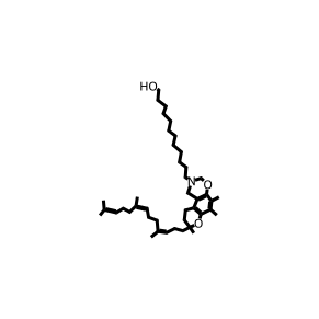 CC(C)=CCCC(C)=CCCC(C)=CCCC1(C)CCc2c3c(c(C)c(C)c2O1)OCN(CCCCCCCCCCCCO)C3